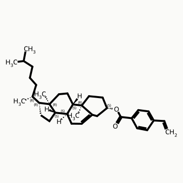 C=Cc1ccc(C(=O)O[C@H]2CC[C@@]3(C)C(=CC[C@H]4[C@@H]5CC[C@H]([C@H](C)CCCC(C)C)[C@@]5(C)CC[C@@H]43)C2)cc1